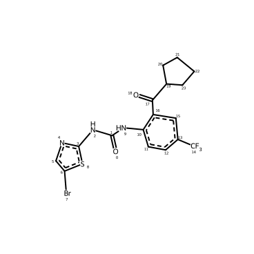 O=C(Nc1ncc(Br)s1)Nc1ccc(C(F)(F)F)cc1C(=O)C1CCCC1